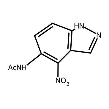 CC(=O)Nc1ccc2[nH]ncc2c1[N+](=O)[O-]